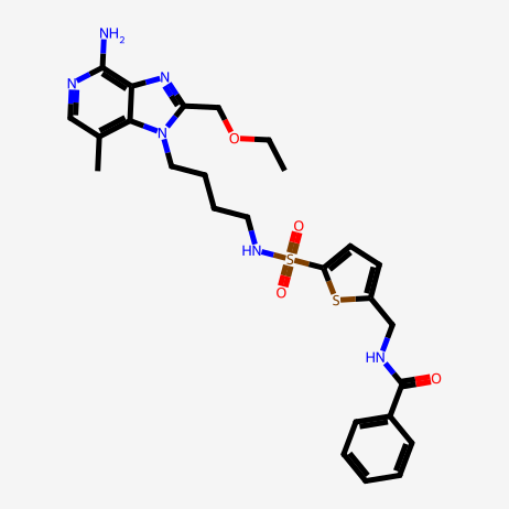 CCOCc1nc2c(N)ncc(C)c2n1CCCCNS(=O)(=O)c1ccc(CNC(=O)c2ccccc2)s1